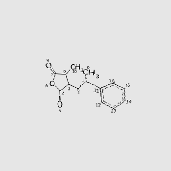 CC(CC1C(=O)OC(=O)C1C)c1ccccc1